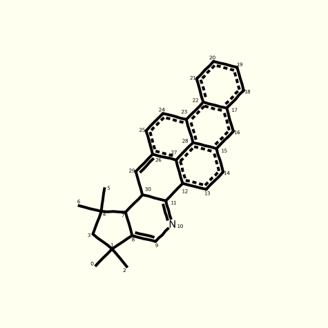 CC1(C)CC(C)(C)C2C1=CN=C1c3ccc4cc5ccccc5c5ccc(c3c45)=CC12